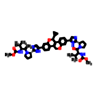 C=C([C@@H](NC(=O)OC)C(C)C)N1CCC[C@H]1c1ncc(-c2ccc3c(c2)OC(C2CC2)C2=C3COc3cc(-c4cnc([C@@H]5CCCN5C(=O)[C@@H](NC(=O)OC)C(C)C)[nH]4)ccc32)[nH]1